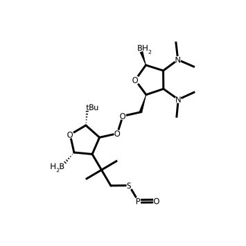 B[C@@H]1O[C@H](COOC2C(C(C)(C)CSP=O)[C@H](B)O[C@@H]2C(C)(C)C)C(N(C)C)C1N(C)C